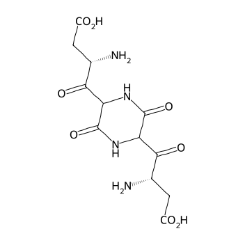 N[C@@H](CC(=O)O)C(=O)C1NC(=O)C(C(=O)[C@@H](N)CC(=O)O)NC1=O